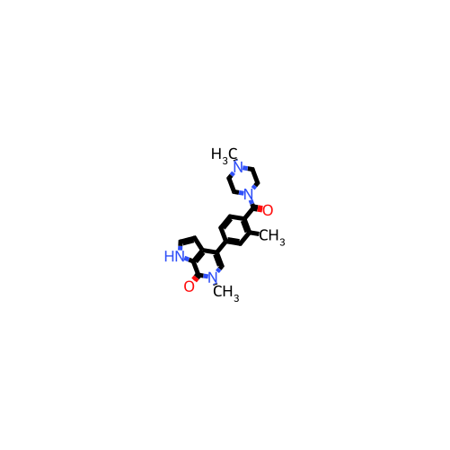 Cc1cc(-c2cn(C)c(=O)c3[nH]ccc23)ccc1C(=O)N1CCN(C)CC1